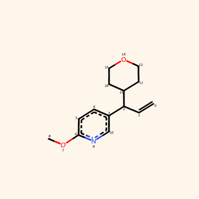 C=CC(c1ccc(OC)nc1)C1CCOCC1